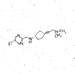 CCc1cnc(CN[C@H]2CC[C@H](C#CCN(C)C)CC2)nc1